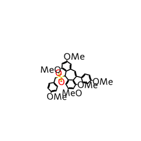 COc1ccc(CS(=O)(=O)C2c3cc(OC)cc(OC)c3C(c3ccc(OC)cc3)=Cc3cc(OC)cc(OC)c32)cc1